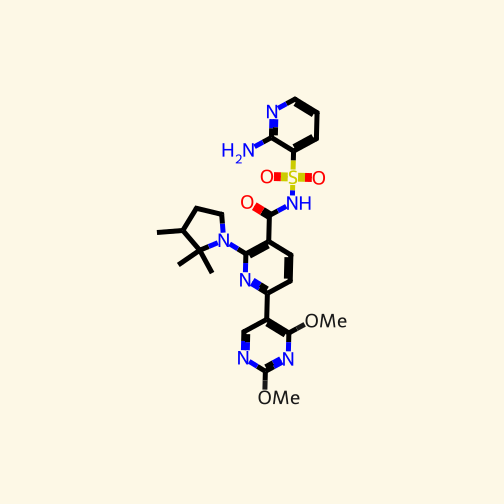 COc1ncc(-c2ccc(C(=O)NS(=O)(=O)c3cccnc3N)c(N3CCC(C)C3(C)C)n2)c(OC)n1